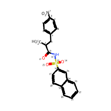 O=C(O)C(Cc1ccc([N+](=O)[O-])cc1)C(=O)NS(=O)(=O)c1ccc2ccccc2c1